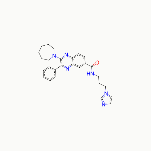 O=C(NCCCn1ccnc1)c1ccc2nc(N3CCCCCC3)c(-c3ccccc3)nc2c1